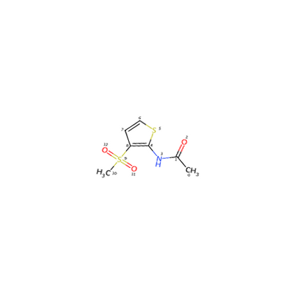 CC(=O)Nc1sccc1S(C)(=O)=O